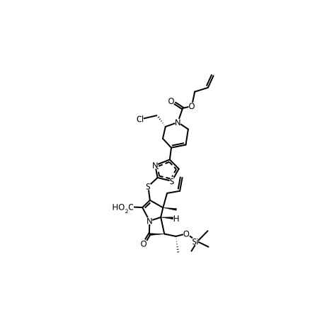 C=CCOC(=O)N1CC=C(c2csc(SC3=C(C(=O)O)N4C(=O)[C@H]([C@@H](C)O[Si](C)(C)C)[C@H]4[C@@]3(C)CC=C)n2)C[C@@H]1CCl